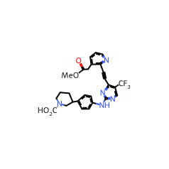 COC(=O)Cc1cccnc1C#Cc1nc(Nc2ccc(C3CCCN(C(=O)O)C3)cc2)ncc1C(F)(F)F